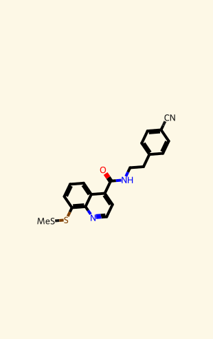 CSSc1cccc2c(C(=O)NCCc3ccc(C#N)cc3)ccnc12